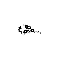 CCN(Cc1ccc(OCCN(C)C2CCC2)c(F)c1)C1C=C(OC)C=CC1[C@@H]1CCc2cc(O)ccc2C1